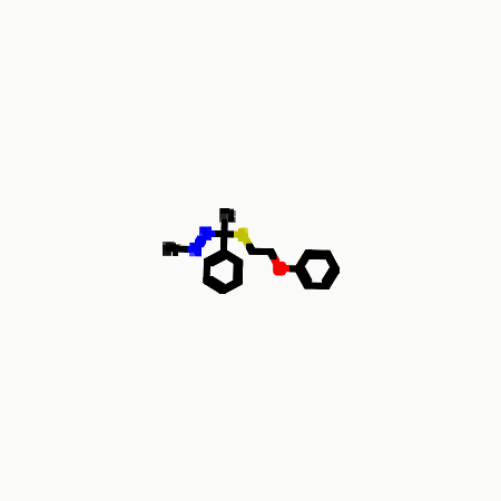 CCC(N=NC(C)C)(SCCOc1ccccc1)c1ccccc1